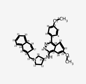 COc1ccc(-c2nnc(N[C@@H]3CCN(Cc4ccc5ccccc5c4)C3)c3cc(OC)ccc23)cc1